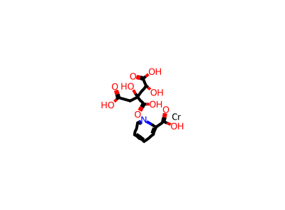 O=C(O)CC(O)(C(=O)O)C(O)C(=O)O.O=C(O)c1ccccn1.[Cr]